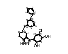 Oc1cc(O)c(-c2n[nH]c3c2CN(Cc2cccc(-n4cccn4)c2)CC3)cc1Cl